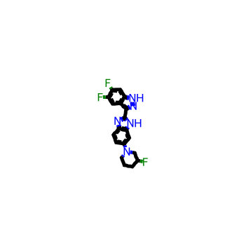 Fc1cc2[nH]nc(-c3nc4ccc(N5CCCC(F)C5)cc4[nH]3)c2cc1F